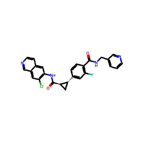 O=C(NCc1cccnc1)c1ccc([C@@H]2C[C@H]2C(=O)Nc2cc3ccncc3cc2Cl)cc1F